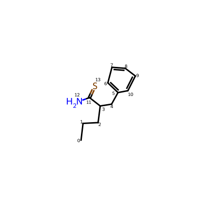 CCCC(Cc1ccccc1)C(N)=S